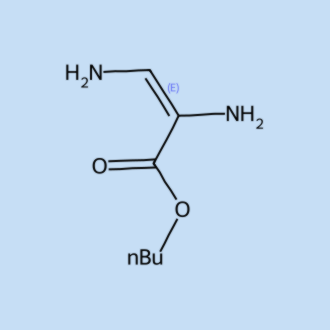 CCCCOC(=O)/C(N)=C\N